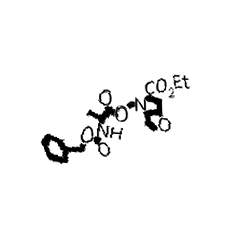 CCOC(=O)c1cc2occc2n1COC(=O)C(C)NC(=O)OCc1ccccc1